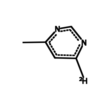 [2H]c1cc(C)ncn1